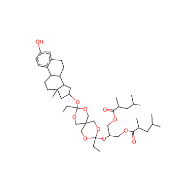 CCC1(OC(COC(=O)C(C)CC(C)C)COC(=O)C(C)CC(C)C)OCC2(CO1)COC(CC)(OC1CC3C4CCc5cc(O)ccc5C4CCC3(C)C1)OC2